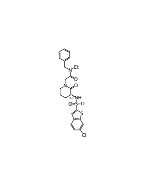 CCN(Cc1ccccc1)C(=O)CN1CCC[C@H](NS(=O)(=O)c2cc3ccc(Cl)cc3s2)C1=O